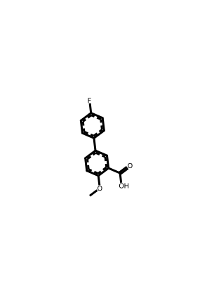 COc1ccc(-c2ccc(F)cc2)cc1C(=O)O